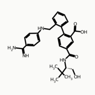 CC(C)(C)[C@@H](CO)NC(=O)c1ccc(-c2ccccc2CNc2ccc(C(=N)N)cc2)c(C(=O)O)c1